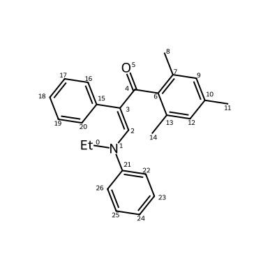 CCN(/C=C(/C(=O)c1c(C)cc(C)cc1C)c1ccccc1)c1ccccc1